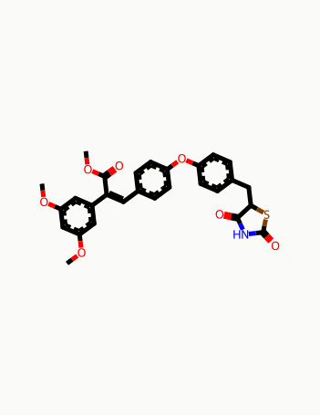 COC(=O)C(=Cc1ccc(Oc2ccc(CC3SC(=O)NC3=O)cc2)cc1)c1cc(OC)cc(OC)c1